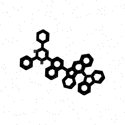 C1=CC2c3ccccc3N(c3c4ccccc4cc4c3c3c(n4-c4ccc(C5=NC(C6C=CCCC6)NC(c6ccccc6)N5)c5ccccc45)CCC=C3)C2C=C1